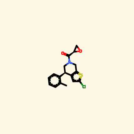 Cc1ccccc1[C@H]1CN(C(=O)[C@H]2CO2)Cc2sc(Cl)cc21